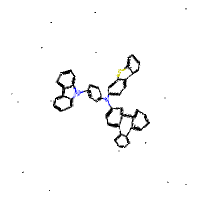 c1ccc2c(c1)sc1cc(N(c3ccc(-n4c5ccccc5c5ccccc54)cc3)c3ccc4c5ccccc5c5ccccc5c4c3)ccc12